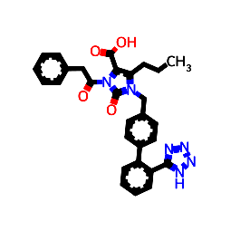 CCCc1c(C(=O)O)n(C(=O)Cc2ccccc2)c(=O)n1Cc1ccc(-c2ccccc2-c2nnn[nH]2)cc1